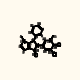 Cn1ccc2c1C(c1ccccc1)N(c1cc(Cl)c(=O)n(C)c1)C2=O